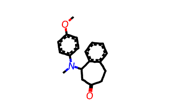 COc1ccc(N(C)C2CC(=O)CCc3ccccc32)cc1